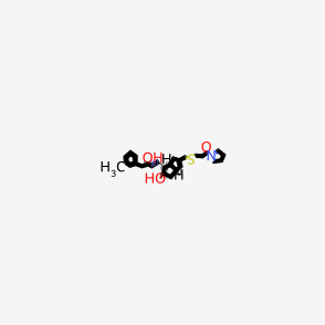 Cc1cccc(C[C@H](O)/C=C/[C@@H]2[C@H]3CC(CSCCC(=O)N4CCCC4)=C[C@H]3C[C@H]2O)c1